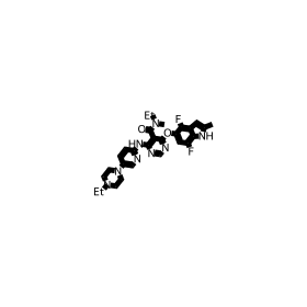 CCN1CCN(c2ccc(Nc3ncnc(Oc4cc(F)c5[nH]c(C)cc5c4F)c3C(=O)N(C)CC)nc2)CC1